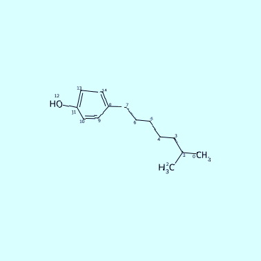 CC(C)CCCCCc1ccc(O)cc1